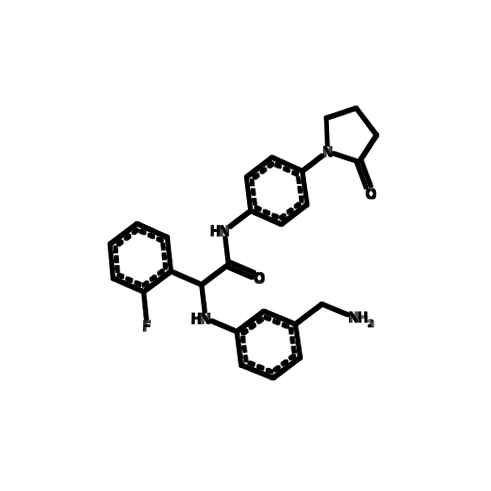 NCc1cccc(NC(C(=O)Nc2ccc(N3CCCC3=O)cc2)c2ccccc2F)c1